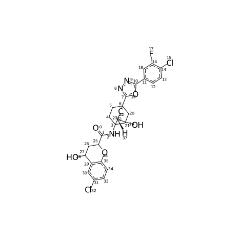 O=C(NC12CCC(c3nnc(-c4ccc(Cl)c(F)c4)o3)(CC1)C[C@@H]2O)C1CC(O)c2cc(Cl)ccc2O1